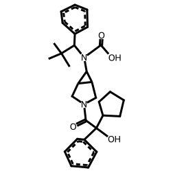 CC(C)(C)C(c1ccccc1)N(C(=O)O)C1C2CN(C(=O)C(O)(c3ccccc3)C3CCCC3)CC21